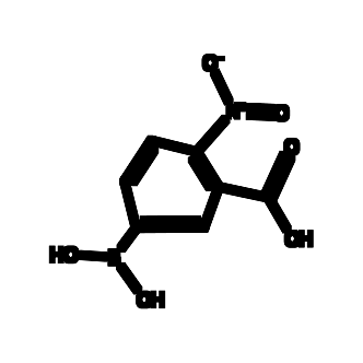 O=C(O)c1cc(B(O)O)ccc1[N+](=O)[O-]